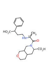 C[C@H](NCCC(C(=O)O)c1ccccc1)C(=O)N1CC2COCCC2CC1C(=O)O